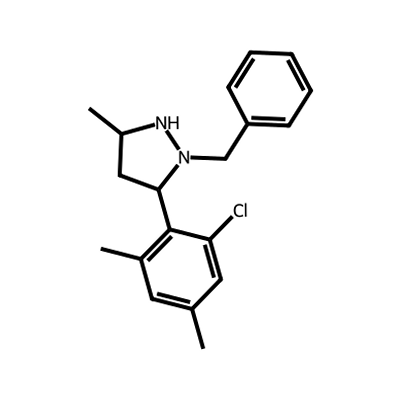 Cc1cc(C)c(C2CC(C)NN2Cc2ccccc2)c(Cl)c1